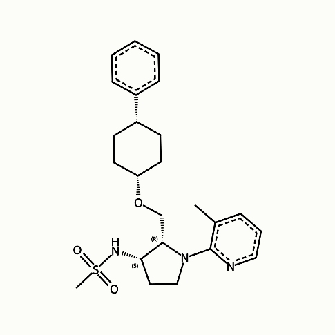 Cc1cccnc1N1CC[C@H](NS(C)(=O)=O)[C@@H]1CO[C@H]1CC[C@@H](c2ccccc2)CC1